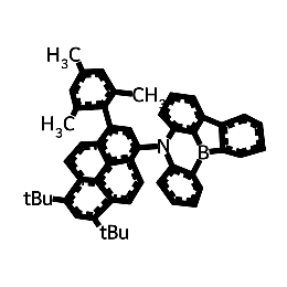 Cc1cc(C)c(-c2cc(N3c4ccccc4B4c5ccccc5-c5cccc3c54)c3ccc4c(C(C)(C)C)cc(C(C)(C)C)c5ccc2c3c54)c(C)c1